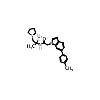 Cc1ccc(-c2ccc3ccn(CC(=O)NC(C)(C)CN4CCCC4)c3c2)cc1